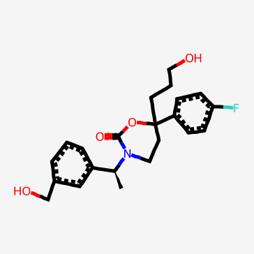 C[C@@H](c1cccc(CO)c1)N1CCC(CCCO)(c2ccc(F)cc2)OC1=O